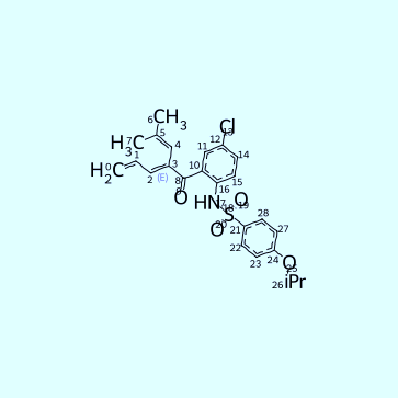 C=C/C=C(\C=C(C)C)C(=O)c1cc(Cl)ccc1NS(=O)(=O)c1ccc(OC(C)C)cc1